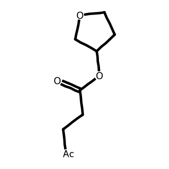 CC(=O)CCC(=O)OC1CCOC1